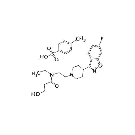 CCN(CCN1CCC(c2noc3cc(F)ccc23)CC1)C(=O)CCO.Cc1ccc(S(=O)(=O)O)cc1